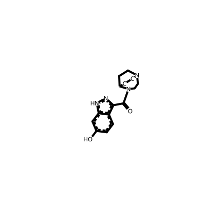 O=C(c1n[nH]c2cc(O)ccc12)N1CCN2CCC1CC2